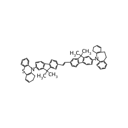 CC1(C)c2cc(/C=C/c3ccc4c(c3)C(C)(C)c3cc(N5C6=C(C=CCC6)Sc6ccccc65)ccc3-4)ccc2-c2ccc(N3C4=C(C=CCC4)CCc4ccccc43)cc21